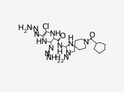 NN=NC1=C(Cl)NC(C(=O)NC2NC3(CCN(C(=O)C4CCCCC4)CC3)CN2N)C(N=NN)N1